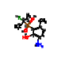 Cc1ccc(N)c(O)c1S(=O)(=O)C(C)(C)F